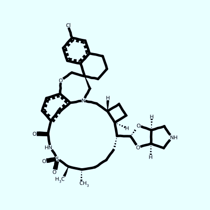 C[C@@H]1[C@@H](C)CCC[C@@H]([C@@H]2O[C@H]3CNC[C@H]3O2)[C@@H]2CC[C@H]2CN2C[C@@]3(CCCc4cc(Cl)ccc43)COc3ccc(cc32)C(=O)NS1(=O)=O